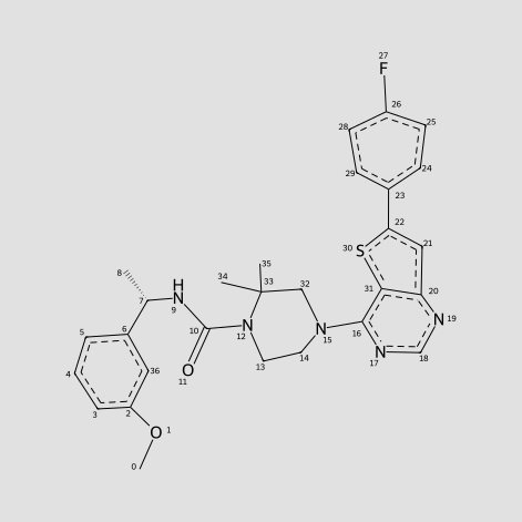 COc1cccc([C@H](C)NC(=O)N2CCN(c3ncnc4cc(-c5ccc(F)cc5)sc34)CC2(C)C)c1